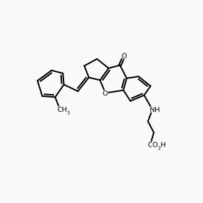 Cc1ccccc1C=C1CCc2c1oc1cc(NCCC(=O)O)ccc1c2=O